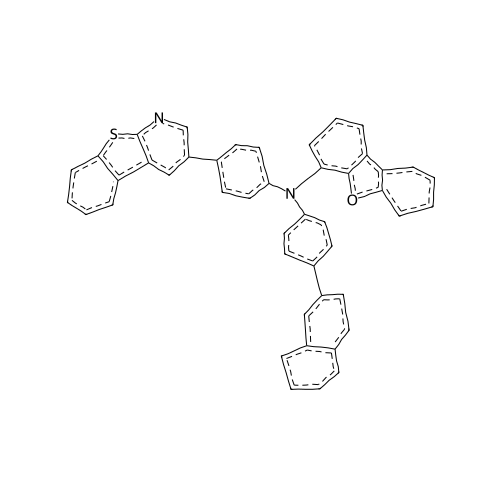 c1ccc2cc(-c3ccc(N(c4ccc(-c5cnc6sc7ccccc7c6c5)cc4)c4cccc5c4oc4ccccc45)cc3)ccc2c1